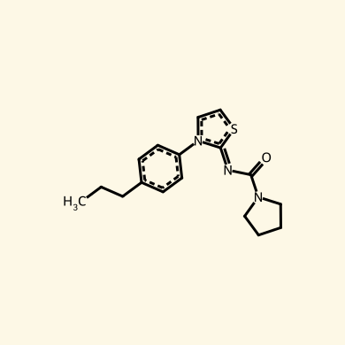 CCCc1ccc(-n2ccs/c2=N\C(=O)N2CCCC2)cc1